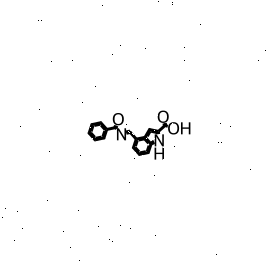 O=C(N=Cc1cccc2[nH]c(C(=O)O)cc12)c1ccccc1